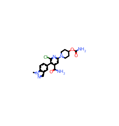 Cn1ncc2cc(-c3c(C(N)=O)cc(N4CCC(OC(N)=O)CC4)nc3Cl)ccc21